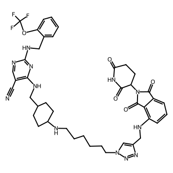 N#Cc1cnc(NCc2ccccc2OC(F)(F)F)nc1NCC1CCC(NCCCCCCn2cc(CNc3cccc4c3C(=O)N(C3CCC(=O)NC3=O)C4=O)nn2)CC1